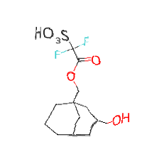 O=C(OCC12CCCC(CC(O)C1)C2)C(F)(F)S(=O)(=O)O